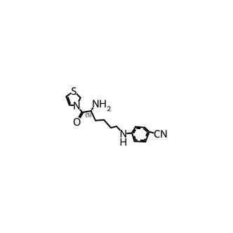 N#Cc1ccc(NCCCC[C@H](N)C(=O)N2C=CSC2)cc1